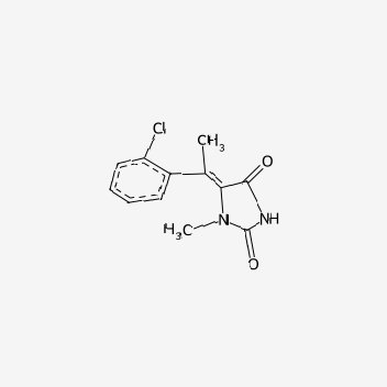 C/C(=C1\C(=O)NC(=O)N1C)c1ccccc1Cl